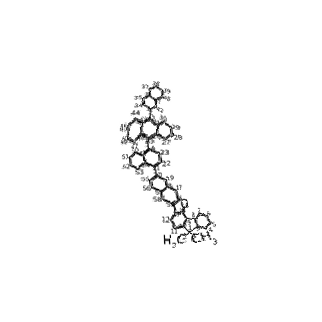 CC1(C)c2ccccc2-c2c1ccc1c2oc2cc3cc(-c4ccc(-c5c6ccccc6c(-c6ccc7ccccc7c6)c6ccccc56)c5ccccc45)ccc3cc21